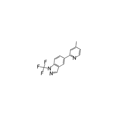 Cc1ccnc(-c2ccc3c(cnn3C(F)(F)F)c2)c1